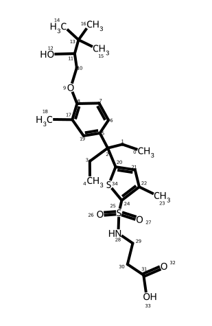 CCC(CC)(c1ccc(OCC(O)C(C)(C)C)c(C)c1)c1cc(C)c(S(=O)(=O)NCCC(=O)O)s1